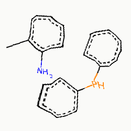 Cc1ccccc1N.c1ccc(Pc2ccccc2)cc1